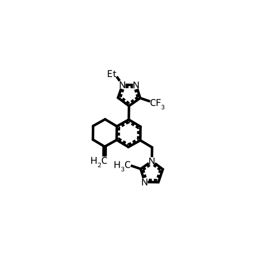 C=C1CCCc2c1cc(Cn1ccnc1C)cc2-c1cn(CC)nc1C(F)(F)F